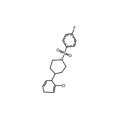 O=S(=O)(c1ccc(F)cc1)N1CCC(C2C=CCC=C2Cl)CC1